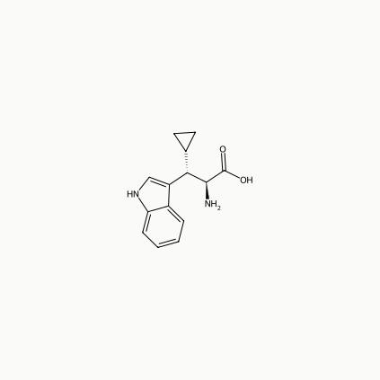 N[C@H](C(=O)O)[C@H](c1c[nH]c2ccccc12)C1CC1